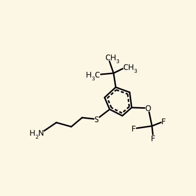 CC(C)(C)c1cc(OC(F)(F)F)cc(SCCCN)c1